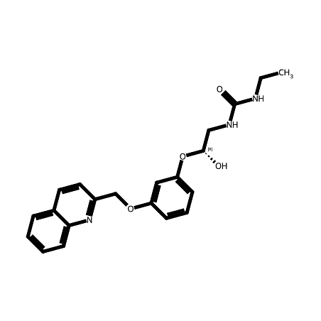 CCNC(=O)NC[C@H](O)Oc1cccc(OCc2ccc3ccccc3n2)c1